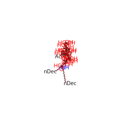 CCCCCCCCCCCCC/C=C/[C@@H](O)[C@H](CO[C@@H]1OC(CO)[C@@H](O[C@@H]2OC(CO)[C@H](O)[C@H](O[C@@H]3OC(CO)[C@@H](O[C@@H]4OC(CO)[C@H](O)[C@H](O[C@H]5OC(CO)[C@H](O)[C@H](O)C5O)C4O)[C@H](O[C@H]4OC(C)[C@@H](O)C(O)[C@@H]4O)C3NC(C)=O)C2O)[C@H](O)C1O)NC(=O)CCCCCCCCCCCCCCCCCCCCC